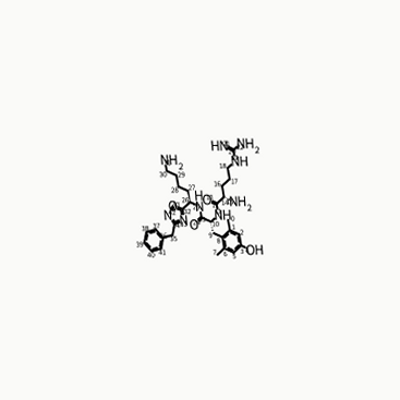 Cc1cc(O)cc(C)c1C[C@@H](NC(=O)[C@@H](N)CCCNC(=N)N)C(=O)N[C@H](CCCCN)c1nc(Cc2ccccc2)no1